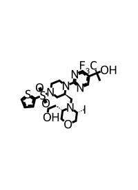 C[C@@](O)(c1cnc(N2CCN(S(=O)(=O)c3cccs3)C[C@@H]2CN2[C@@H](CCO)COC[C@H]2I)nc1)C(F)(F)F